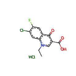 CCn1cc(C(=O)O)c(=O)c2cc(F)c(Cl)cc21.Cl